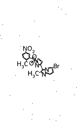 Cc1ccc([N+](=O)[O-])cc1S(=O)(=O)n1ccc(-c2c(C)nc3ccc(Br)cn23)n1